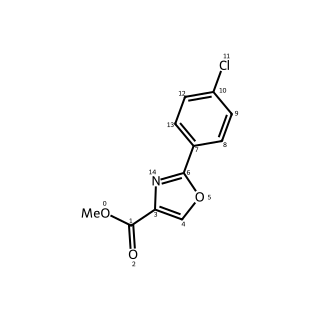 COC(=O)c1coc(-c2ccc(Cl)cc2)n1